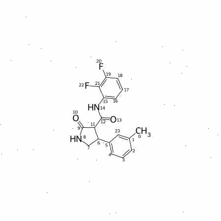 Cc1cccc(C2CNC(=O)C2C(=O)Nc2cccc(F)c2F)c1